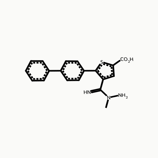 CN(N)C(=N)c1cc(C(=O)O)sc1-c1ccc(-c2ccccc2)cc1